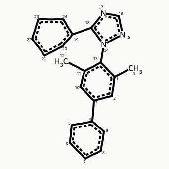 Cc1cc(-c2ccccc2)cc(C)c1-n1ncnc1-c1ccccc1